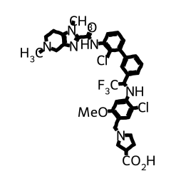 COc1cc(NC(c2cccc(-c3cccc(NC(=O)c4nc5c(n4C)CCN(C)C5)c3Cl)c2)C(F)(F)F)c(Cl)cc1CN1CCC(C(=O)O)C1